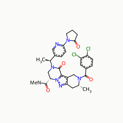 CNC(=O)[C@@H]1CN([C@@H](C)c2ccc(N3CCCC3=O)nc2)C(=O)c2c3c(nn21)C[C@@H](C)N(C(=O)c1ccc(Cl)c(Cl)c1)C3